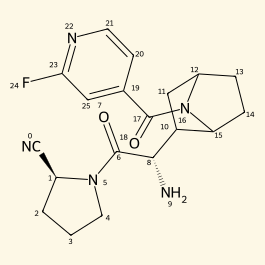 N#C[C@@H]1CCCN1C(=O)[C@@H](N)C1CC2CCC1N2C(=O)c1ccnc(F)c1